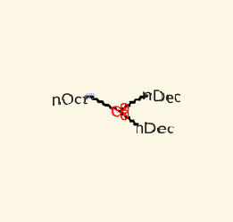 CCCCCCCC/C=C\CCCCCCCCOC(COCCCCCCCCCCCCCCCC)COCCCCCCCCCCCCCCCCCC